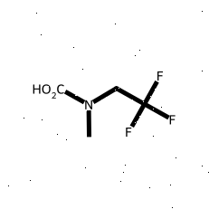 CN(CC(F)(F)F)C(=O)O